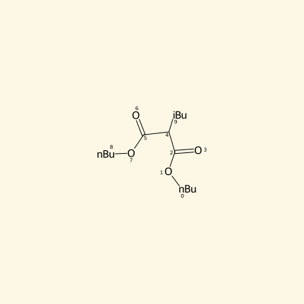 CCCCOC(=O)C(C(=O)OCCCC)C(C)CC